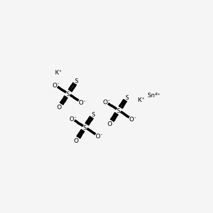 O=S([O-])([O-])=S.O=S([O-])([O-])=S.O=S([O-])([O-])=S.[K+].[K+].[Sn+4]